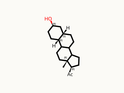 CC(=O)[C@@H]1CCC2C3CC[C@H]4C[C@H](O)CC[C@H]4C3CC[C@]21C